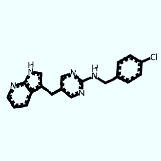 Clc1ccc(CNc2ncc(Cc3c[nH]c4ncccc34)cn2)cc1